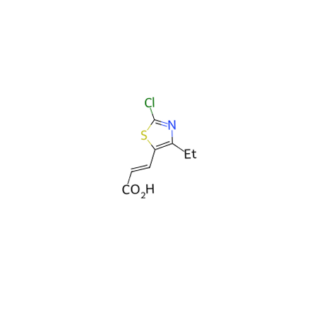 CCc1nc(Cl)sc1/C=C/C(=O)O